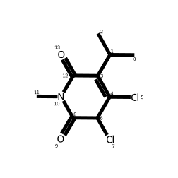 CC(C)C1=C(Cl)C(Cl)C(=O)N(C)C1=O